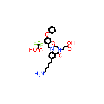 NCCCCCc1ccc2c(c1)C(=O)N(CCC(=O)O)CC(=O)N2Cc1ccc(Oc2ccccc2)cc1.O=C(O)C(F)(F)F